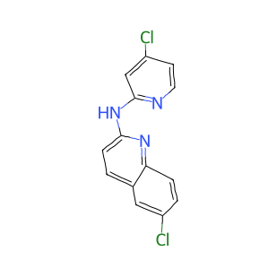 Clc1ccnc(Nc2ccc3cc(Cl)ccc3n2)c1